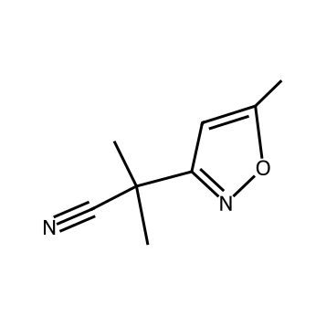 Cc1cc(C(C)(C)C#N)no1